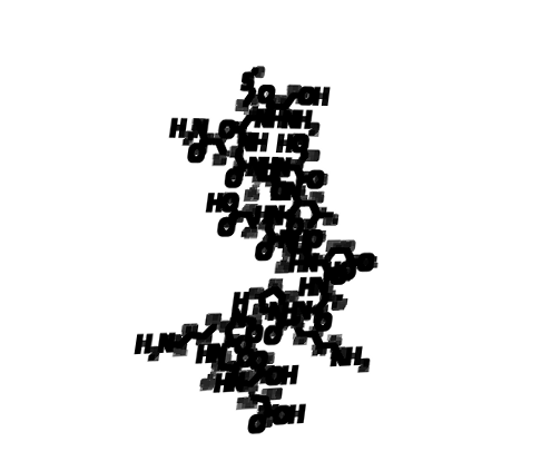 CSCC[C@H](NC(=O)[C@@H](N)CO)C(=O)N[C@@H](CCC(N)=O)C(=O)N[C@@H](C)C(=O)N[C@@H](CO)C(=O)N[C@@H](CC(C)C)C(=O)N[C@@H](CCC(=O)O)C(=O)N[C@@H](C)C(=O)N[C@@H](CCC(=O)O)C(=O)N[C@@H](C)C(=O)N[C@@H](CCCCN)C(=O)N1CCC[C@H]1C(=O)N[C@@H](CCCCN)C(=O)N[C@@H](C)C(=O)N[C@@H](CCC(=O)O)C(=O)O